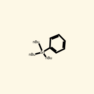 CCC[CH2][Sn]([CH2]CCC)([CH2]CCC)[c]1[c]cccc1